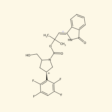 CC(C)(/C=C1\NC(=O)c2ccccc21)OC(=O)N1C[C@@H](c2c(F)c(F)cc(F)c2F)CC1CO